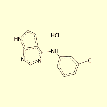 Cl.Clc1cccc(Nc2ncnc3[nH]ccc23)c1